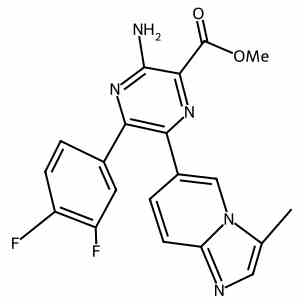 COC(=O)c1nc(-c2ccc3ncc(C)n3c2)c(-c2ccc(F)c(F)c2)nc1N